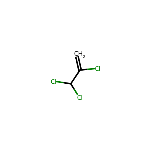 C=C(Cl)C(Cl)Cl